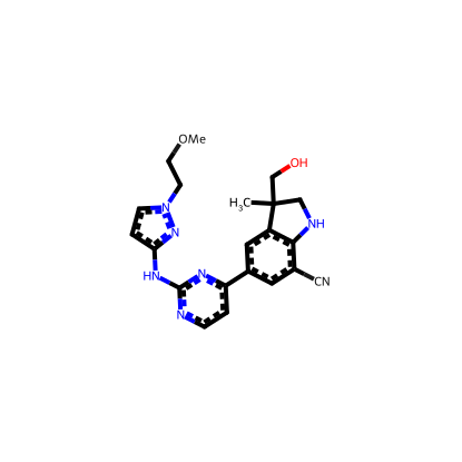 COCCn1ccc(Nc2nccc(-c3cc(C#N)c4c(c3)C(C)(CO)CN4)n2)n1